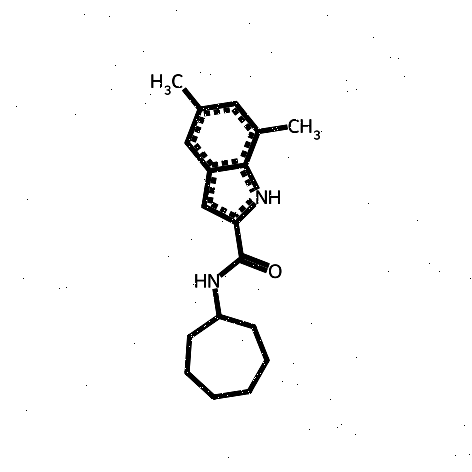 Cc1cc(C)c2[nH]c(C(=O)NC3CCCCCC3)cc2c1